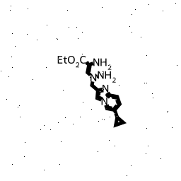 CCOC(=O)/C(N)=C/N(N)Cc1cn2cc(C3CC3)ccc2n1